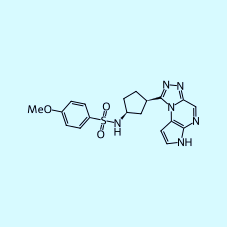 COc1ccc(S(=O)(=O)N[C@H]2CC[C@@H](c3nnc4cnc5[nH]ccc5n34)C2)cc1